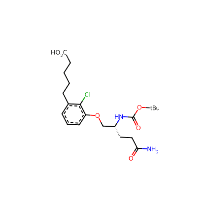 CC(C)(C)OC(=O)N[C@H](CCC(N)=O)COc1cccc(CCCCC(=O)O)c1Cl